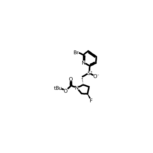 CC(C)(C)OC(=O)N1C[C@H](F)C[C@H]1C[S+]([O-])c1cccc(Br)n1